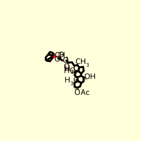 CC(=O)O[C@@H]1CC[C@@]2(C)C(C1)C[C@@H](O)C1C2C[C@H](O)[C@]2(C)C(C(C)CCC(=O)OCC(=O)OC3(C)C4CC5CC(C4)CC3C5)CCC12